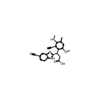 C#Cc1c(NC)c(C)cc(OC)c1C(CC(=O)O)c1nc2cc(C#N)ccc2[nH]1